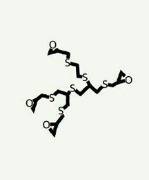 C(CSC(CSCC1CO1)CSC(CSCC1CO1)CSCC1CO1)SCC1CO1